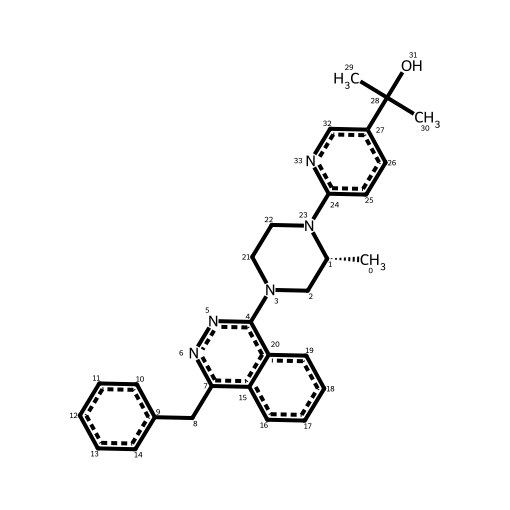 C[C@@H]1CN(c2nnc(Cc3ccccc3)c3ccccc23)CCN1c1ccc(C(C)(C)O)cn1